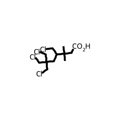 CC(C)(CC(=O)O)C(CCl)CC(CCl)(CCl)CCl